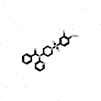 COc1ccc(S(=O)(=O)N2CCC(N(C(=O)c3ccccc3)c3ccccn3)CC2)cc1F